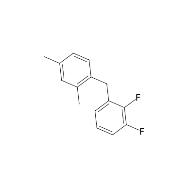 Cc1ccc(Cc2cccc(F)c2F)c(C)c1